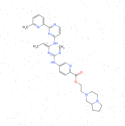 C=N/C(=N\C(=C/C)Nc1ccnc(-c2cccc(C)n2)n1)Nc1ccc(C(=O)OCCN2CCN3CCCC3C2)nc1